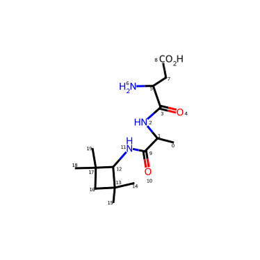 CC(NC(=O)C(N)CC(=O)O)C(=O)NC1C(C)(C)CC1(C)C